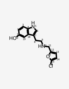 Oc1ccc2[nH]cc(CCNCc3ccc(Cl)o3)c2c1